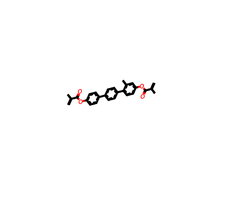 C=C(C)C(=O)Oc1ccc(-c2ccc(-c3ccc(OC(=O)C(=C)C)cc3C)cc2)cc1